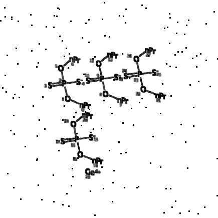 CCCOP(=S)([S-])OCCC.CCCOP(=S)([S-])OCCC.CCCOP(=S)([S-])OCCC.CCCOP(=S)([S-])OCCC.[Ge+4]